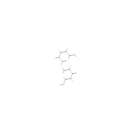 OCC1OC(NC2OC(CO)C(O)C(O)C2O)C(O)C(O)C1O